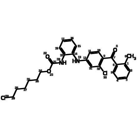 Cc1ccccc1C(=O)c1ccc(Nc2ccccc2NC(=O)OCCCCCCCl)cc1Cl